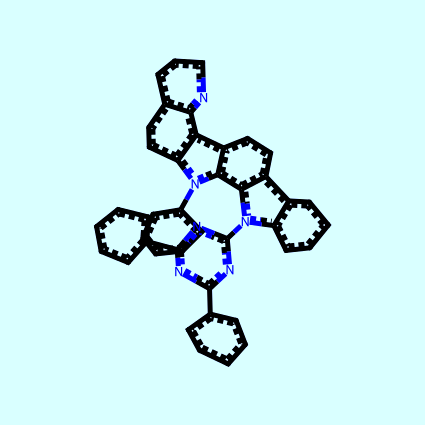 c1ccc(-c2nc(-c3ccccc3)nc(-n3c4ccccc4c4ccc5c6c7ncccc7ccc6n(-c6ccccc6)c5c43)n2)cc1